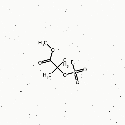 COC(=O)C(C)(C)OS(=O)(=O)F